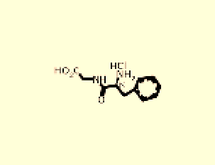 Cl.N[C@@H](Cc1ccccc1)C(=O)NCC(=O)O